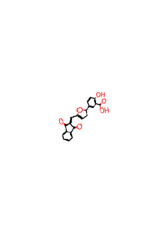 O=C(O)c1cc(C2CC=C(C=C3C(=O)c4ccccc4C3=O)O2)ccc1O